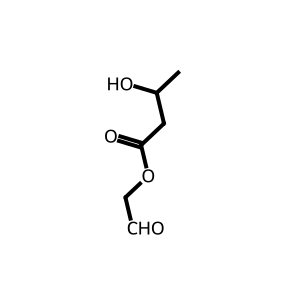 CC(O)CC(=O)OCC=O